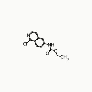 CCOC(=O)Nc1ccc2c(Cl)nccc2c1